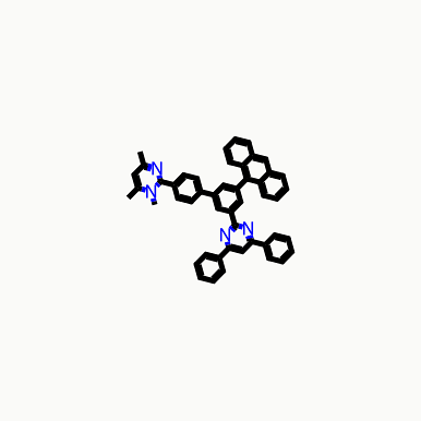 CC1=CC(C)=NC(c2ccc(-c3cc(-c4nc(-c5ccccc5)cc(-c5ccccc5)n4)cc(-c4c5ccccc5cc5ccccc45)c3)cc2)N1C